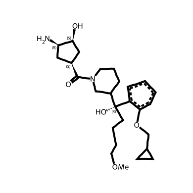 COCCCC[C@](O)(c1ccccc1OCC1CC1)C1CCCN(C(=O)[C@H]2C[C@@H](N)[C@@H](O)C2)C1